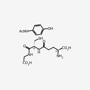 CC(=O)Nc1ccc(O)cc1.N[C@@H](CCC(=O)N[C@@H](CS)C(=O)NCC(=O)O)C(=O)O